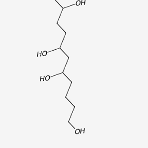 CC(O)CCC(O)CC(O)CCCCO